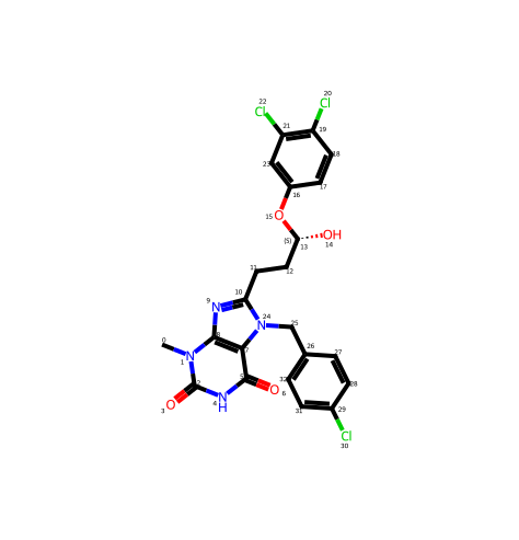 Cn1c(=O)[nH]c(=O)c2c1nc(CC[C@@H](O)Oc1ccc(Cl)c(Cl)c1)n2Cc1ccc(Cl)cc1